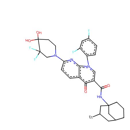 CCC1CC2CCCC(NC(=O)c3cn(-c4ccc(F)cc4F)c4nc(N5CCC(O)(O)C(F)(F)C5)ccc4c3=O)(C1)C2